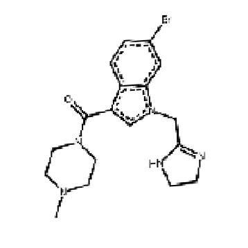 CN1CCN(C(=O)c2cn(CC3=NCCN3)c3cc(Br)ccc23)CC1